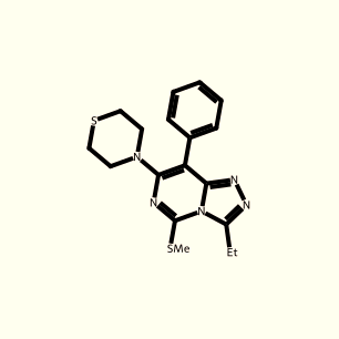 CCc1nnc2c(-c3ccccc3)c(N3CCSCC3)nc(SC)n12